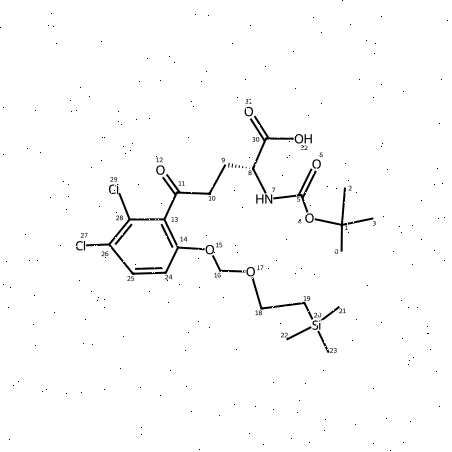 CC(C)(C)OC(=O)N[C@H](CCC(=O)c1c(OCOCC[Si](C)(C)C)ccc(Cl)c1Cl)C(=O)O